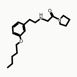 CCCCCOc1cccc(CCNCC(=O)N2CCCC2)c1